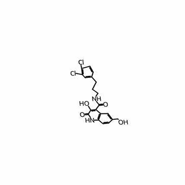 O=C(NCCCc1ccc(Cl)c(Cl)c1)c1c(O)c(=O)[nH]c2ccc(CO)cc12